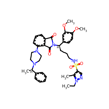 CCn1ncc(S(=O)(=O)NCCC[C@H](c2ccc(OC)c(OC)c2)N2C(=O)c3cccc(N4CCN([C@H](C)c5ccccc5)CC4)c3C2=O)c1C